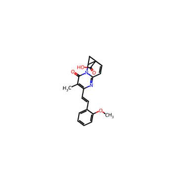 COc1ccccc1/C=C/c1nc2n(c(=O)c1C)C1CC1(C(=O)O)C=C2